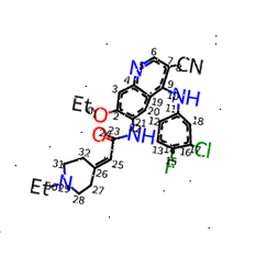 CCOc1cc2ncc(C#N)c(Nc3ccc(F)c(Cl)c3)c2cc1NC(=O)C=C1CCN(CC)CC1